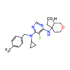 O=C(O)CC1(Nc2ncnc(N(Cc3ccc(C(F)(F)F)cc3)C3CC3)c2F)CCOCC1